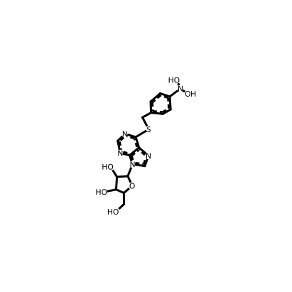 OCC1OC(n2cnc3c(SCc4ccc(N(O)O)cc4)ncnc32)C(O)C1O